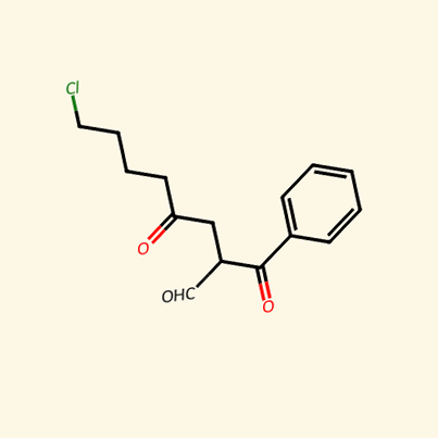 O=CC(CC(=O)CCCCCl)C(=O)c1ccccc1